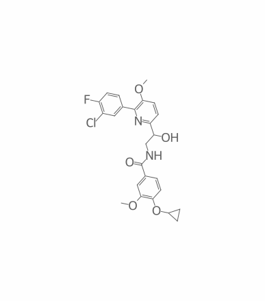 COc1cc(C(=O)NCC(O)c2ccc(OC)c(-c3ccc(F)c(Cl)c3)n2)ccc1OC1CC1